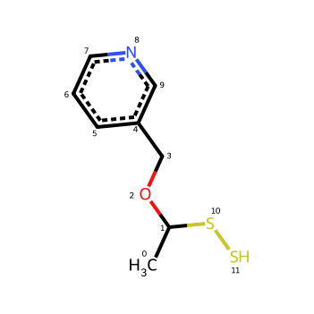 CC(OCc1cccnc1)SS